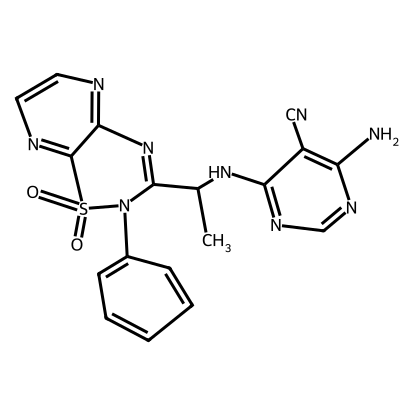 CC(Nc1ncnc(N)c1C#N)C1=Nc2nccnc2S(=O)(=O)N1c1ccccc1